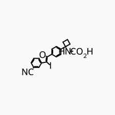 N#Cc1ccc2oc(-c3ccc(C4(NC(=O)O)CCC4)cc3)c(I)c2c1